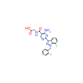 Nc1nc(-c2nn(Cc3ccccc3F)c3c(F)cccc23)ncc1C(=O)NCC(=O)O